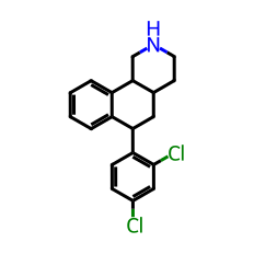 Clc1ccc(C2CC3CCNCC3c3ccccc32)c(Cl)c1